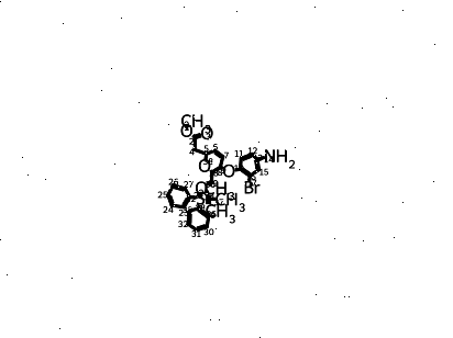 COC(=O)CC1C=CC(Oc2ccc(N)cc2Br)C(CO[Si](c2ccccc2)(c2ccccc2)C(C)(C)C)O1